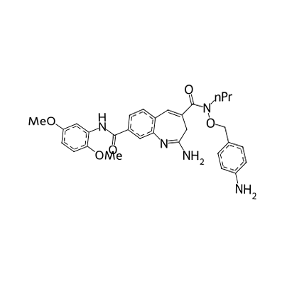 CCCN(OCc1ccc(N)cc1)C(=O)C1=Cc2ccc(C(=O)Nc3cc(OC)ccc3OC)cc2N=C(N)C1